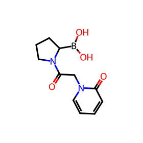 O=C(Cn1ccccc1=O)N1CCCC1B(O)O